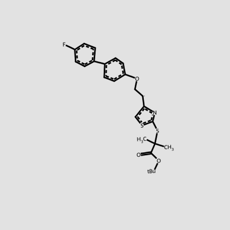 CC(C)(C)OC(=O)C(C)(C)Sc1nc([CH]COc2ccc(-c3ccc(F)cc3)cc2)cs1